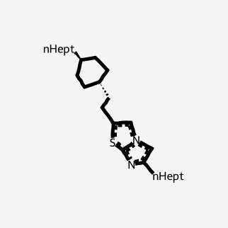 CCCCCCCc1cn2cc(CC[C@H]3CC[C@H](CCCCCCC)CC3)sc2n1